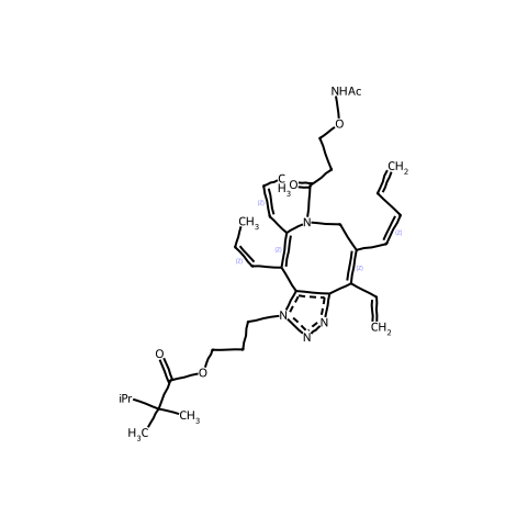 C=C/C=C\C1=C(/C=C)c2nnn(CCCOC(=O)C(C)(C)C(C)C)c2C(/C=C\C)=C(/C=C\C)N(C(=O)CCONC(C)=O)C1